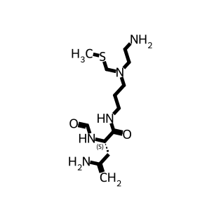 C=C(N)C[C@H](NC=O)C(=O)NCCCN(CCN)CSC